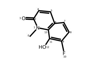 Cn1c(=O)ccc2ccc(F)c(O)c21